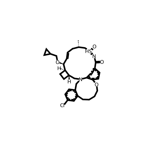 C[C@H]1C/C=C/[C@H](OCC2CC2)[C@@H]2CC[C@H]2CN2Cc3ccc(Cl)cc3CCCCOc3ccc(cc32)C(=O)/N=[SH](=O)\C1